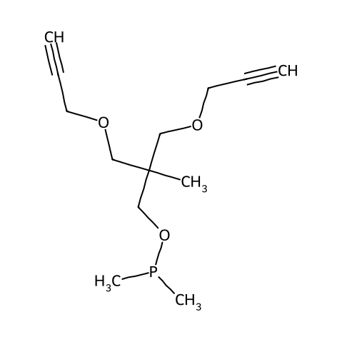 C#CCOCC(C)(COCC#C)COP(C)C